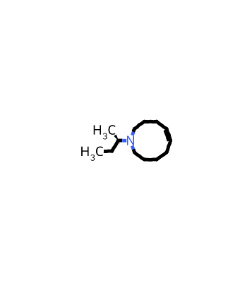 CC[C@@H](C)N1CCC/C=C\CCCC1